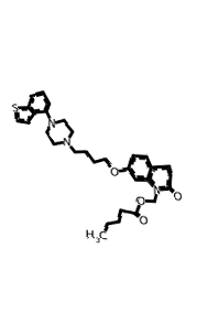 CCCCC(=O)OCn1c(=O)ccc2ccc(OCCCCN3CCN(c4cccc5sccc45)CC3)cc21